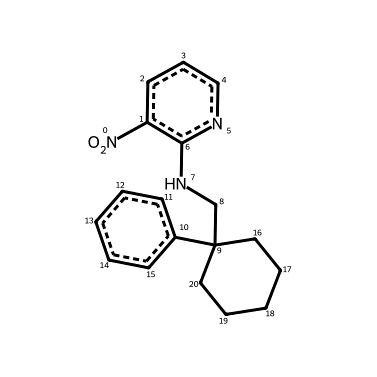 O=[N+]([O-])c1cccnc1NCC1(c2ccccc2)CCCCC1